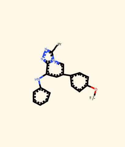 CC(C)c1nnc2c(Nc3ccccc3)cc(-c3ccc(OC(F)(F)F)cc3)cn12